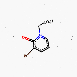 O=C(O)Cn1cccc(Br)c1=O